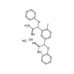 Cc1ccc(C(Oc2ccccc2)C(=N)N)cc1C(Oc1ccccc1)C(=N)N.Cl.Cl